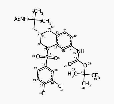 CC(=O)NC(C)(C)C[C@H]1CN(S(=O)(=O)c2ccc(F)c(Cl)c2)c2cc(NC(=O)OC(C)(C)C(F)(F)F)ccc2O1